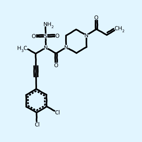 C=CC(=O)N1CCN(C(=O)N(C(C)C#Cc2ccc(Cl)c(Cl)c2)S(N)(=O)=O)CC1